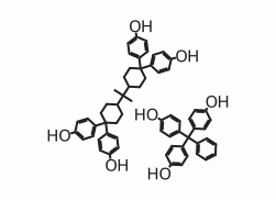 CC(C)(C1CCC(c2ccc(O)cc2)(c2ccc(O)cc2)CC1)C1CCC(c2ccc(O)cc2)(c2ccc(O)cc2)CC1.Oc1ccc(C(c2ccccc2)(c2ccc(O)cc2)c2ccc(O)cc2)cc1